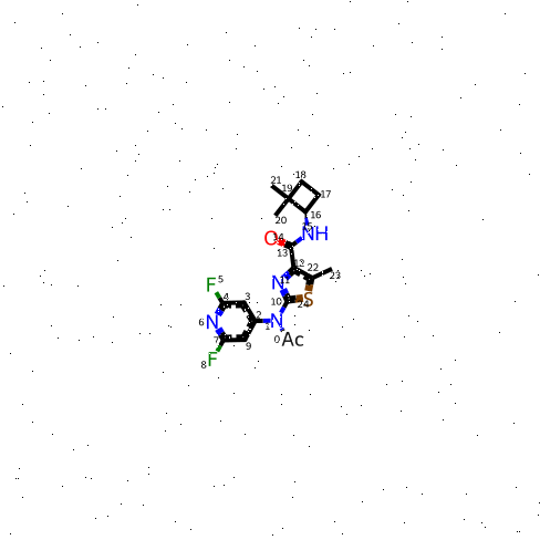 CC(=O)N(c1cc(F)nc(F)c1)c1nc(C(=O)N[C@@H]2CCC2(C)C)c(C)s1